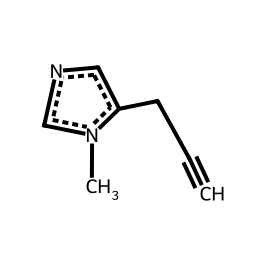 C#CCc1cncn1C